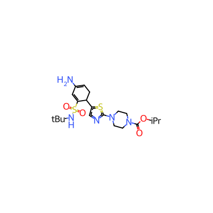 CC(C)OC(=O)N1CCN(c2ncc(C3CC=C(N)C=C3S(=O)(=O)NC(C)(C)C)s2)CC1